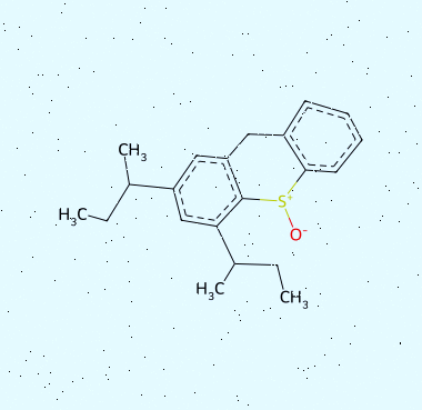 CCC(C)c1cc2c(c(C(C)CC)c1)[S+]([O-])c1ccccc1C2